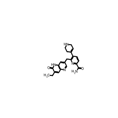 CCc1cc2ncc(Cc3nc(C(N)=O)ccc3C3=CCNCC3)cc2[nH]c1=O